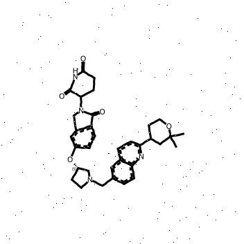 CC1(C)CC(c2ccc3cc(CN4CC[C@H](Oc5ccc6c(c5)CN(C5CCC(=O)NC5=O)C6=O)C4)ccc3n2)CCO1